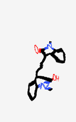 CN1C(=O)/C(=C/C=C/c2c(O)n(C)c3ccccc23)c2ccccc21